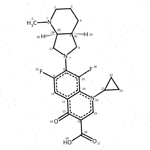 CN1CCC[C@H]2CN(c3c(F)cc4c(=O)c(C(=O)O)cn(C5CC5)c4c3F)C[C@H]21